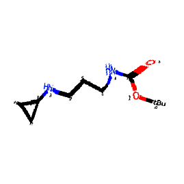 CC(C)(C)OC(=O)NCCCNC1CC1